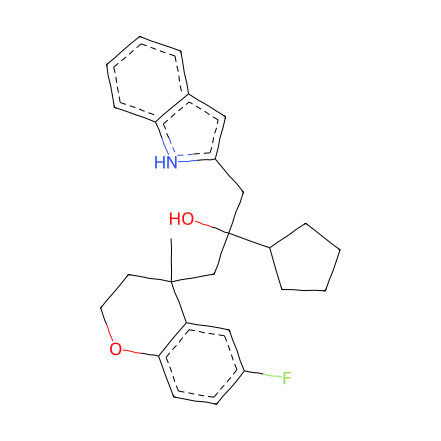 CC1(CC(O)(Cc2cc3ccccc3[nH]2)C2CCCC2)CCOc2ccc(F)cc21